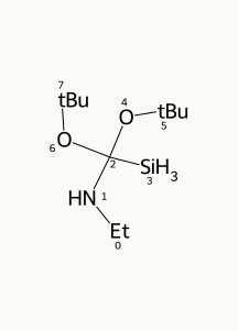 CCNC([SiH3])(OC(C)(C)C)OC(C)(C)C